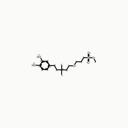 COS(=O)(=O)CCCOCCC(C)(C)CCc1ccc(O)c(O)c1